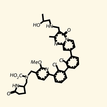 COc1nc(-c2cccc(-c3cccc(-c4ccn5c(=O)c(CNCC(C)O)c(C)nc5c4)c3Cl)c2Cl)ccc1CN(CC1CCC(=O)N1)C(=O)O